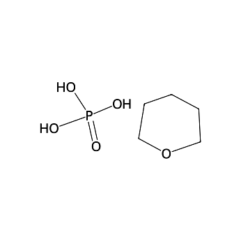 C1CCOCC1.O=P(O)(O)O